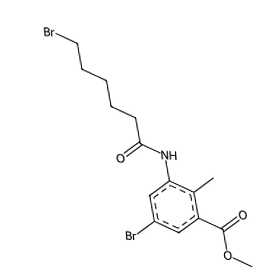 COC(=O)c1cc(Br)cc(NC(=O)CCCCCBr)c1C